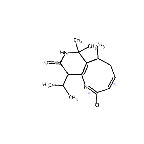 CC1C/C=C\C(Cl)=N/C2=C1C(C)(C)NC(=O)C2C(C)C